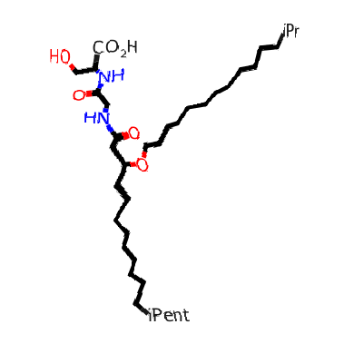 CCCC(C)CCCCCCCCCC(CC(=O)NCC(=O)NC(CO)C(=O)O)OCCCCCCCCCCCCC(C)C